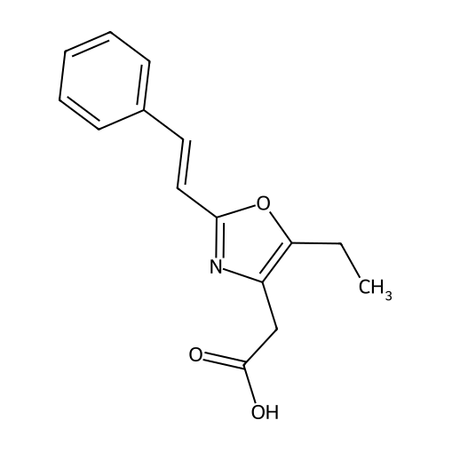 CCc1oc(/C=C/c2ccccc2)nc1CC(=O)O